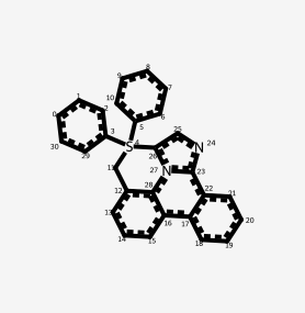 c1ccc(S2(c3ccccc3)Cc3cccc4c5ccccc5c5ncc2n5c34)cc1